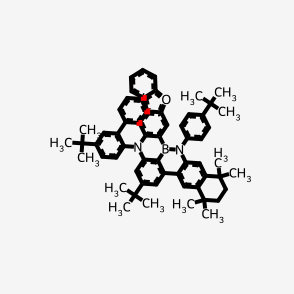 CC(C)(C)c1ccc(N2B3c4cc5oc6ccccc6c5cc4N(c4ccc(C(C)(C)C)cc4-c4ccccc4)c4cc(C(C)(C)C)cc(c43)-c3cc4c(cc32)C(C)(C)CCC4(C)C)cc1